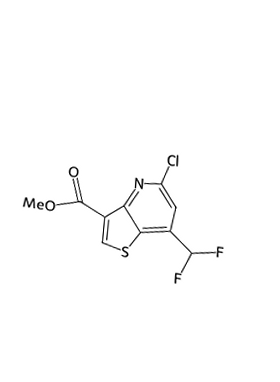 COC(=O)c1csc2c(C(F)F)cc(Cl)nc12